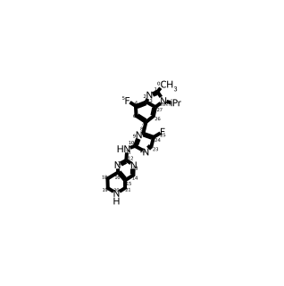 Cc1nc2c(F)cc(-c3nc(Nc4ncc5c(n4)CCNC5)ncc3F)cc2n1C(C)C